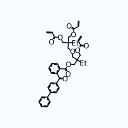 C=CC(=O)OCC(CC)(COCC(CC)(COC(=O)C=C)COC(=O)c1ccccc1C(=O)c1ccc(-c2ccccc2)cc1)COC(=O)C=C